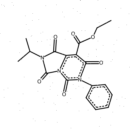 CCOC(=O)c1c2n(c(=O)n(-c3ccccc3)c1=O)C(=O)N(C(C)C)C2=O